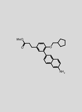 COC(=O)CCc1ccc(OCC2CCCC2)c(-c2ccc3cc(N)ccc3c2)c1